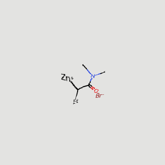 CC[CH]([Zn+])C(=O)N(C)C.[Br-]